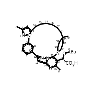 Cc1cc2n(n1)-c1cccc(c1)-c1cc3nc(C)c([C@H](OC(C)(C)C)C(=O)O)c(n3n1)N1CCC(C)(CCCCCC2)CC1